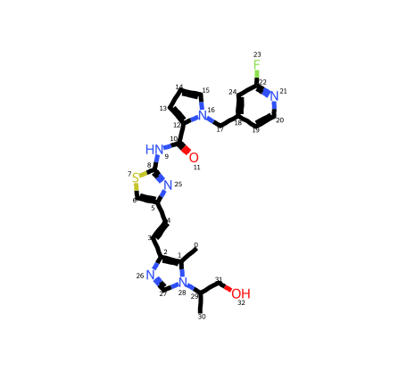 Cc1c(C=Cc2csc(NC(=O)c3cccn3Cc3ccnc(F)c3)n2)ncn1C(C)CO